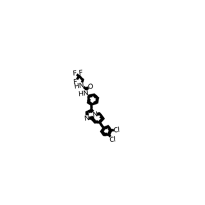 O=C(NCC(F)(F)F)Nc1cccc(-c2cnc3cc(-c4ccc(Cl)c(Cl)c4)ccn23)c1